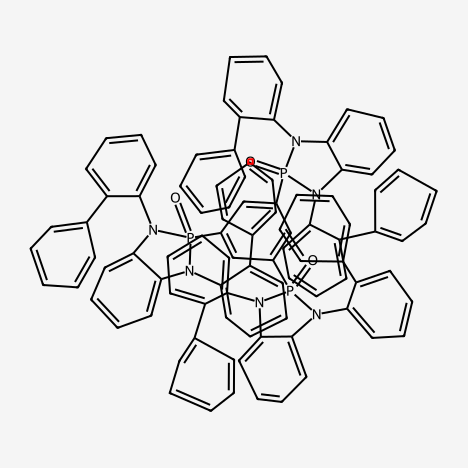 O=P1(c2cc(P3(=O)N(c4ccccc4-c4ccccc4)c4ccccc4N3c3ccccc3-c3ccccc3)cc(P3(=O)N(c4ccccc4-c4ccccc4)c4ccccc4N3c3ccccc3-c3ccccc3)c2)N(c2ccccc2-c2ccccc2)c2ccccc2N1c1ccccc1-c1ccccc1